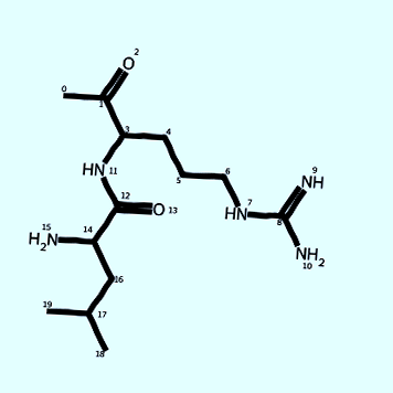 CC(=O)C(CCCNC(=N)N)NC(=O)C(N)CC(C)C